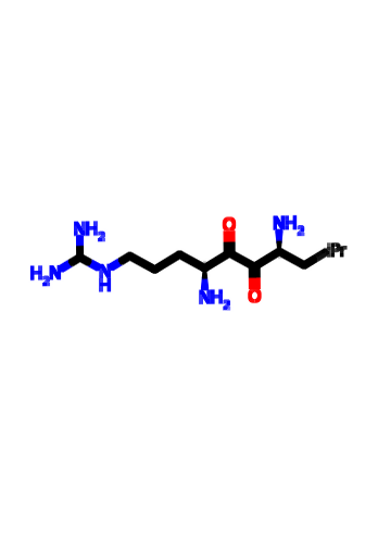 CC(C)C[C@H](N)C(=O)C(=O)[C@@H](N)CCCNC(N)N